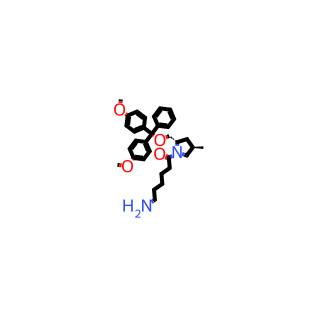 COc1ccc(C(OC[C@@H]2C[C@@H](C)CN2C(=O)CCCCCN)(c2ccccc2)c2ccc(OC)cc2)cc1